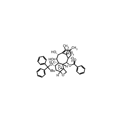 CC1=C2[C@@H](O)[C@H](O)[C@]3(C)[C@@H](OC(c4ccccc4)(c4ccccc4)C(C)(C)C)C[C@H]4OC[C@@]4(C)[C@H]3[C@H](OC(=O)c3ccccc3)[C@](O)(C[C@@H]1C)C2(C)C